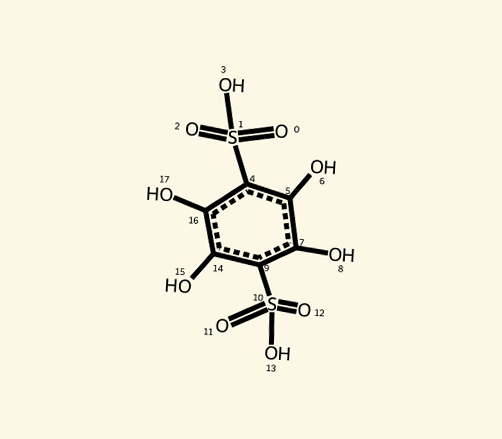 O=S(=O)(O)c1c(O)c(O)c(S(=O)(=O)O)c(O)c1O